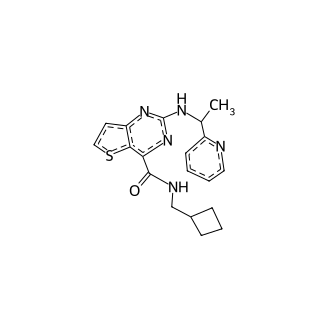 CC(Nc1nc(C(=O)NCC2CCC2)c2sccc2n1)c1ccccn1